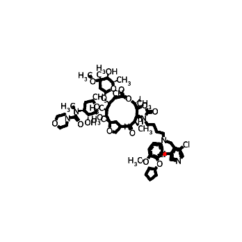 COc1ccc(N(CCCCN2C(=O)O[C@]3(C)[C@@H](I)OC(=O)[C@H](C)[C@@H](O[C@H]4C[C@@](C)(OC)[C@@H](O)[C@H](C)O4)[C@H](C)[C@@H](O[C@@H]4O[C@H](C)C[C@H](N(C)C(=O)N5CCOCC5)[C@H]4O)[C@@]4(C)C[C@@H](CO4)C(=O)[C@H](C)[C@@H]23)Cc2c(Cl)cncc2Cl)cc1OC1CCCC1